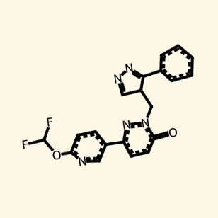 O=c1ccc(-c2ccc(OC(F)F)nc2)nn1CC1C=NN=C1c1ccccc1